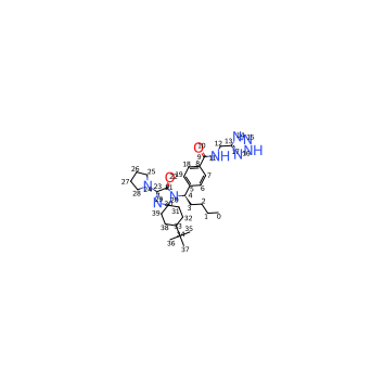 CCCC[C@H](c1ccc(C(=O)NCc2nn[nH]n2)cc1)N1C(=O)C(N2CCCC2)=NC12CCC(C(C)(C)C)CC2